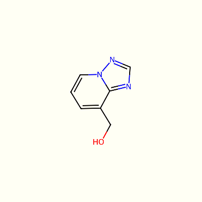 OCc1cccn2ncnc12